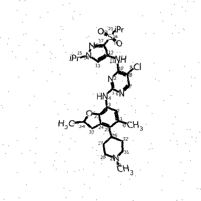 Cc1cc(Nc2ncc(Cl)c(Nc3cn(C(C)C)nc3S(=O)(=O)C(C)C)n2)c2c(c1C1CCN(C)CC1)CC(C)O2